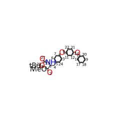 COC(=O)C(Cc1ccc(Oc2ccc(Oc3ccccc3)cc2)cc1)NC(=O)OC(C)(C)C